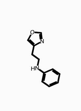 c1ccc(NCCc2cocn2)cc1